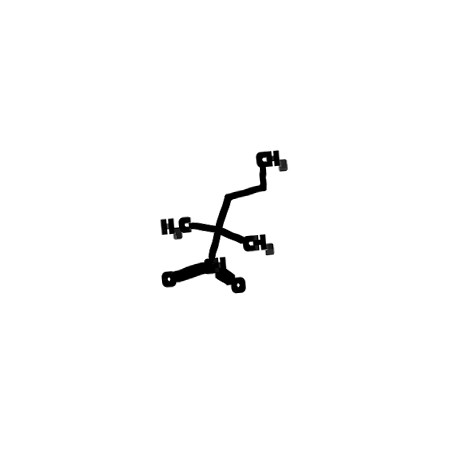 CCCC(C)(C)[SH](=O)=O